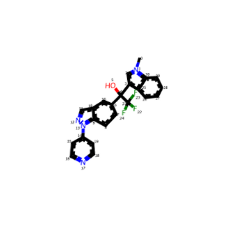 Cn1cc(C(O)(c2ccc3c(cnn3-c3ccncc3)c2)C(F)(F)F)c2ccccc21